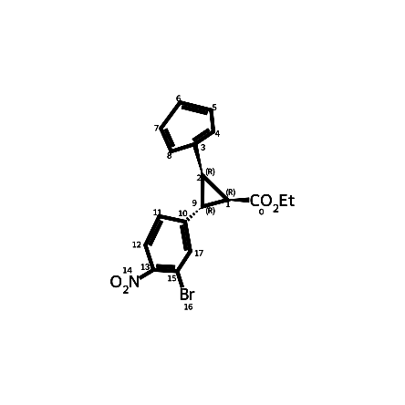 CCOC(=O)[C@@H]1[C@H](c2ccccc2)[C@H]1c1ccc([N+](=O)[O-])c(Br)c1